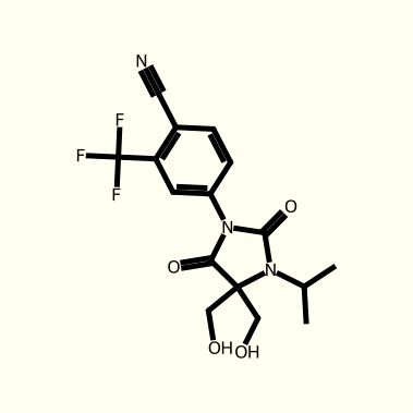 CC(C)N1C(=O)N(c2ccc(C#N)c(C(F)(F)F)c2)C(=O)C1(CO)CO